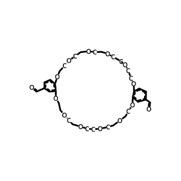 O=Cc1ccc2c(c1)OCCOCCOCCOCCOCCOc1cc(C=O)ccc1OCCOCCOCCOCCOCCO2